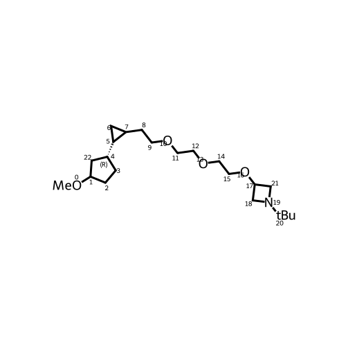 COC1CC[C@@H](C2CC2CCOCCOCCOC2CN(C(C)(C)C)C2)C1